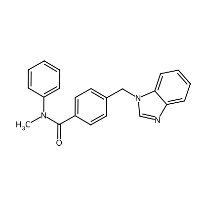 CN(C(=O)c1ccc(Cn2cnc3ccccc32)cc1)c1ccccc1